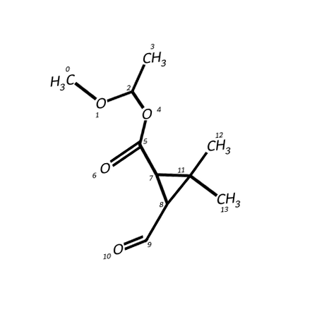 COC(C)OC(=O)C1C(C=O)C1(C)C